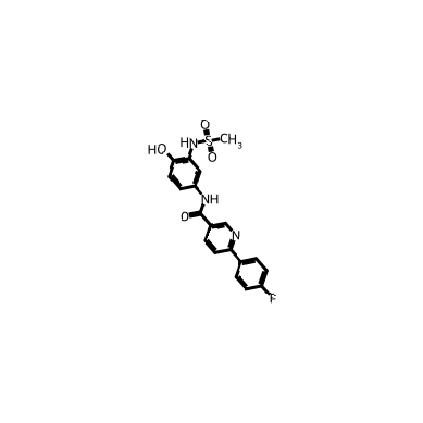 CS(=O)(=O)Nc1cc(NC(=O)c2ccc(-c3ccc(F)cc3)nc2)ccc1O